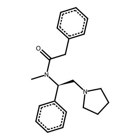 CN(C(=O)Cc1ccccc1)[C@@H](CN1CCCC1)c1ccccc1